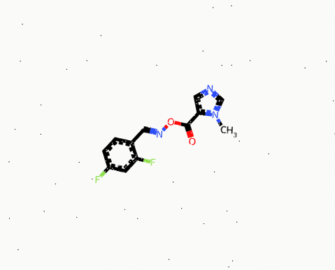 Cn1cncc1C(=O)ON=Cc1ccc(F)cc1F